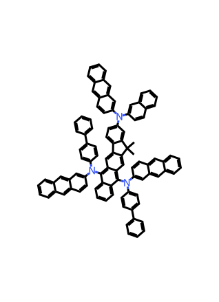 CC1(C)c2cc(N(c3ccc4ccccc4c3)c3ccc4cc5ccccc5cc4c3)ccc2-c2cc3c(N(c4ccc(-c5ccccc5)cc4)c4ccc5cc6ccccc6cc5c4)c4ccccc4c(N(c4ccc(-c5ccccc5)cc4)c4ccc5cc6ccccc6cc5c4)c3cc21